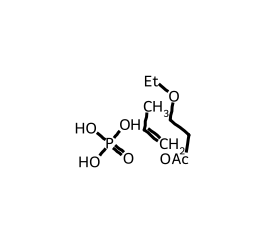 C=CC.CCOCCOC(C)=O.O=P(O)(O)O